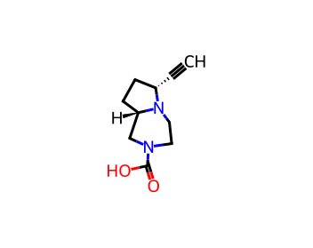 C#C[C@H]1CC[C@H]2CN(C(=O)O)CCN21